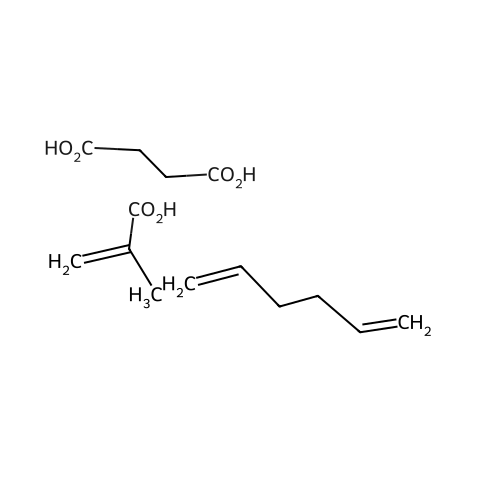 C=C(C)C(=O)O.C=CCCC=C.O=C(O)CCC(=O)O